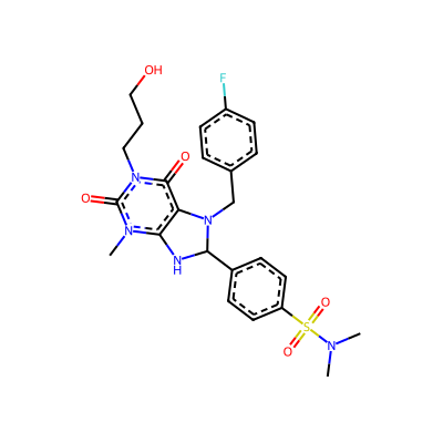 CN(C)S(=O)(=O)c1ccc(C2Nc3c(c(=O)n(CCCO)c(=O)n3C)N2Cc2ccc(F)cc2)cc1